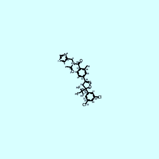 CC(=O)N(Cc1cscn1)C(=O)c1ccc(C2=NOC(c3cc(Cl)cc(Cl)c3)(C(F)(F)F)C2)cc1C